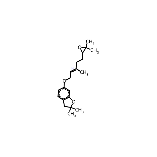 C/C(=C\COc1ccc2c(c1)OC(C)(C)C2)CCC1OC1(C)C